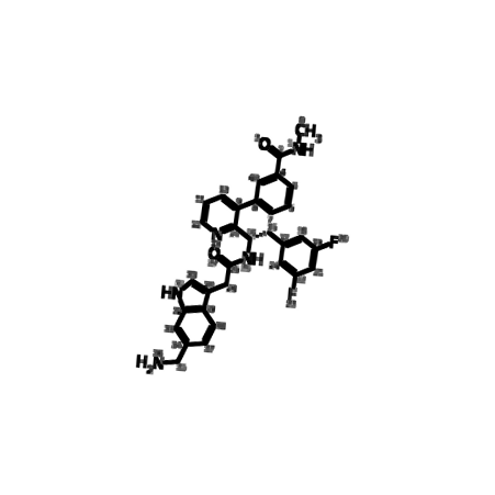 CNC(=O)c1cccc(-c2cccnc2[C@H](Cc2cc(F)cc(F)c2)NC(=O)Cc2c[nH]c3cc(CN)ccc23)c1